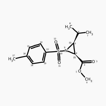 COC(=O)[C@@H]1[C@H](C(C)C)N1S(=O)(=O)c1ccc(C)cc1